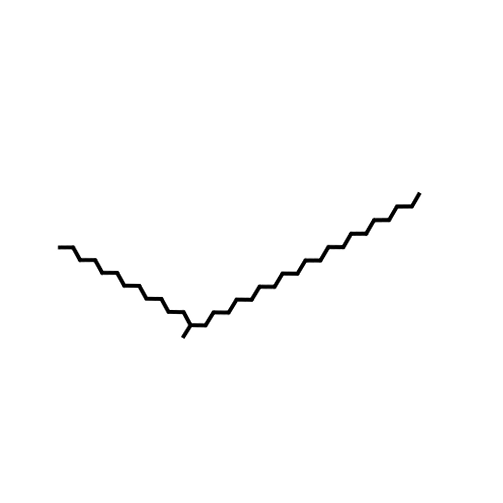 CCCCCCCCCCCCCCCCCCCCC(C)CCCCCCCCCCCC